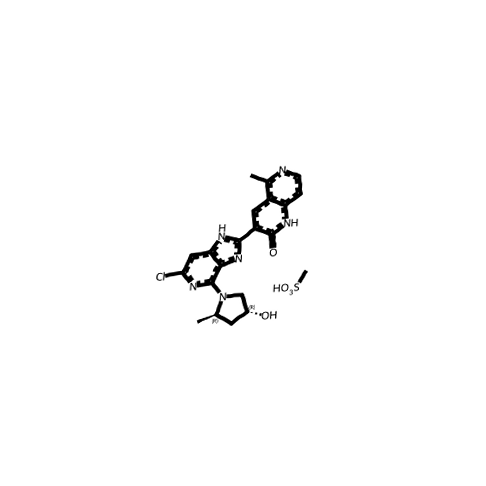 CS(=O)(=O)O.Cc1nccc2[nH]c(=O)c(-c3nc4c(N5C[C@H](O)C[C@H]5C)nc(Cl)cc4[nH]3)cc12